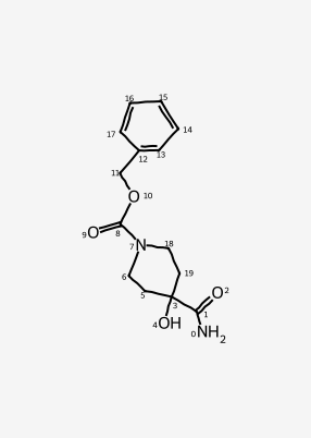 NC(=O)C1(O)CCN(C(=O)OCc2ccccc2)CC1